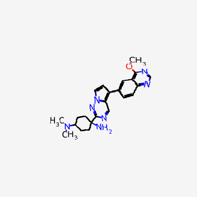 COc1ncnc2ccc(-c3ccn4nc(C5(N)CCC(N(C)C)CC5)ncc34)cc12